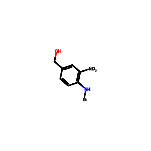 CCNc1ccc(CO)cc1[N+](=O)[O-]